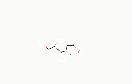 OCC(O)C(O)C1CCCOC1